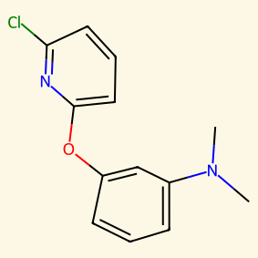 CN(C)c1cccc(Oc2cccc(Cl)n2)c1